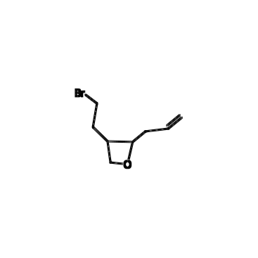 C=CCC1OCC1CCBr